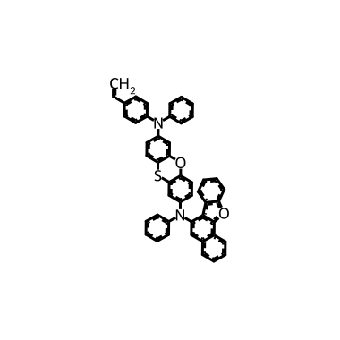 C=Cc1ccc(N(c2ccccc2)c2ccc3c(c2)Oc2ccc(N(c4ccccc4)c4cc5ccccc5c5oc6ccccc6c45)cc2S3)cc1